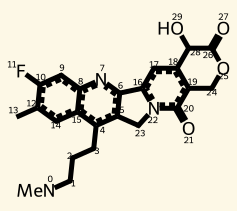 CNCCCc1c2c(nc3cc(F)c(C)cc13)-c1cc3c(c(=O)n1C2)COC(=O)C3O